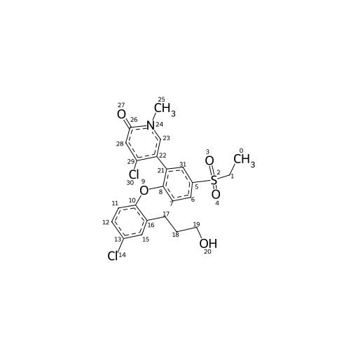 CCS(=O)(=O)c1ccc(Oc2ccc(Cl)cc2CCCO)c(-c2cn(C)c(=O)cc2Cl)c1